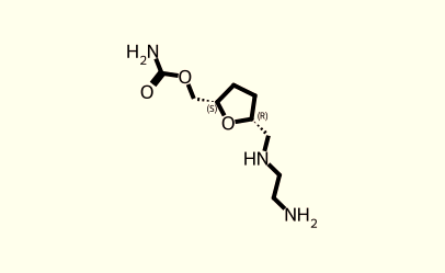 NCCNC[C@H]1CC[C@@H](COC(N)=O)O1